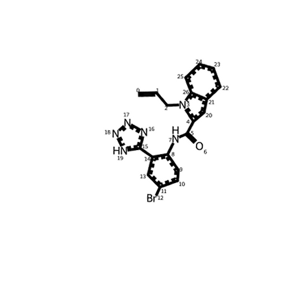 C=CCn1c(C(=O)Nc2ccc(Br)cc2-c2nnn[nH]2)cc2ccccc21